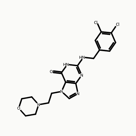 O=c1[nH]c(NCc2ccc(Cl)c(Cl)c2)nc2ncn(CCN3CCOCC3)c12